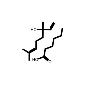 C=CC(C)(O)CCC=C(C)C.CCCCCC(=O)O